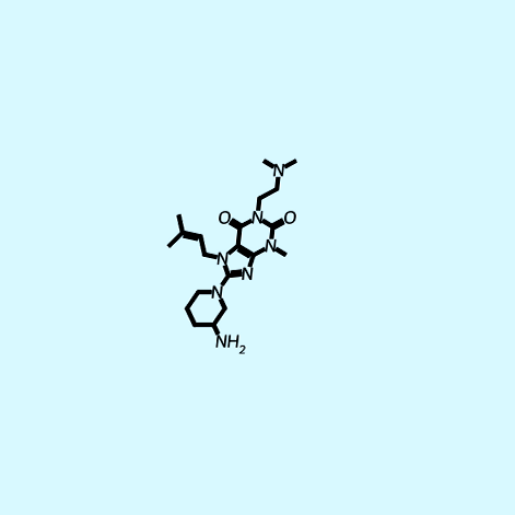 CC(C)=CCn1c(N2CCCC(N)C2)nc2c1c(=O)n(CCN(C)C)c(=O)n2C